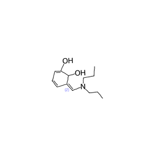 CCCN(/C=C1/C=CC=C(O)C1O)CCC